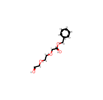 O=CCOCCOCC(=O)OCc1ccccc1